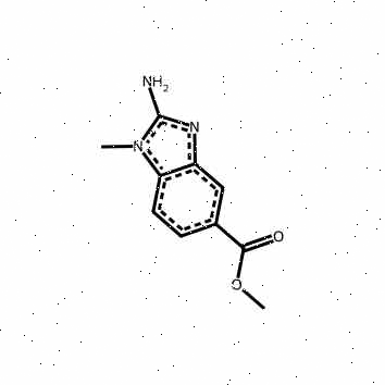 COC(=O)c1ccc2c(c1)nc(N)n2C